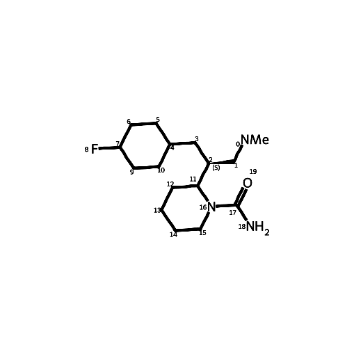 CNC[C@H](CC1CCC(F)CC1)C1CCCCN1C(N)=O